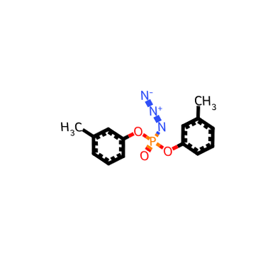 Cc1cccc(OP(=O)(N=[N+]=[N-])Oc2cccc(C)c2)c1